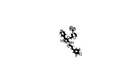 CC(C)(C)OC(=O)N1CCOC(COc2c(NC(=O)CCc3cc(F)c(Cl)c(F)c3)n[nH]c2-c2ccnnc2)C1